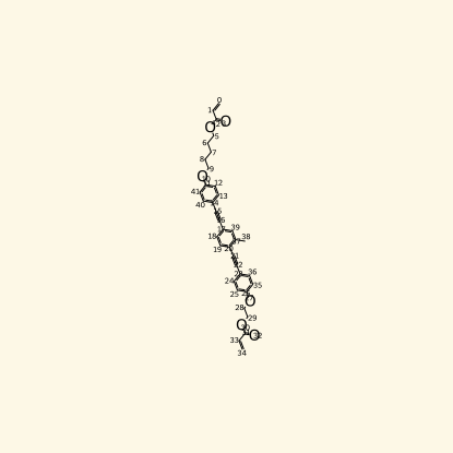 C=CC(=O)OCCCCCOc1ccc(C#Cc2ccc(C#Cc3ccc(OCCOC(=O)C=C)cc3)c(C)c2)cc1